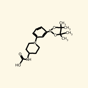 CC1(C)OB(c2cccc(N3CCC(NC(=O)O)CC3)c2)OC1(C)C